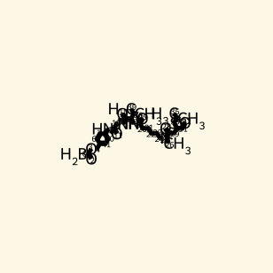 BC(=O)OCc1ccc(NC(=O)CNC(=O)C(NC(=O)CCCCCN(C)C(=O)CC(C=O)SC(C)C)C(C)C)cc1